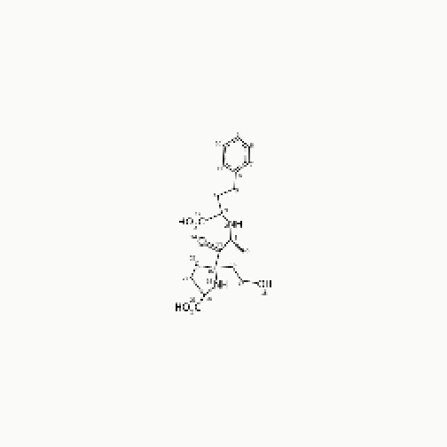 C[C@H](NC(CCc1ccccc1)C(=O)O)C(=O)C1(CCO)NC(C(=O)O)CS1